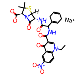 CCn1cc(C(=O)NC(C(=O)N[C@@H]2C(=O)N3[C@@H]2SC(C)(C)[C@@H]3C(=O)[O-])C2=CCC=CC2)c(=O)c2cc([N+](=O)[O-])ccc21.[Na+]